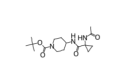 CC(=O)NC1(C(=O)NC2CCN(C(=O)OC(C)(C)C)CC2)CC1